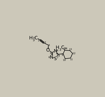 CC#CCOc1nsc(C2CCCCC2C)n1